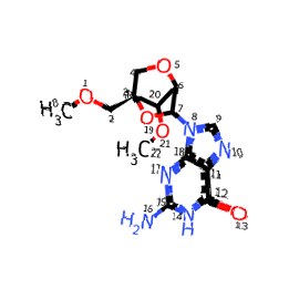 COC[C@]12COC(C(n3cnc4c(=O)[nH]c(N)nc43)O1)C2OC